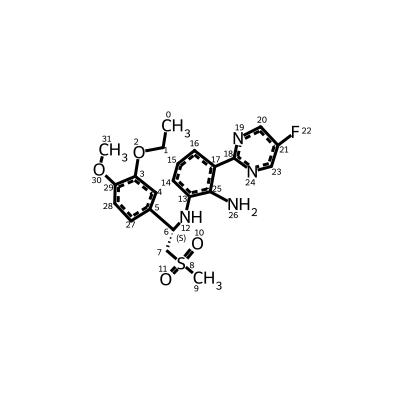 CCOc1cc([C@@H](CS(C)(=O)=O)Nc2cccc(-c3ncc(F)cn3)c2N)ccc1OC